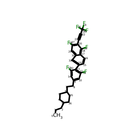 CCCC1CCC(CCc2cc(F)c(-c3ccc4c(F)c(C#CC(F)(F)F)c(F)cc4c3)c(F)c2)CC1